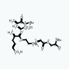 C=C(CC=CC(=O)O)C(=O)OCCO.C=CC(=O)OCC.C=CC(=O)OCC(CC)CCCC.C=CC(=O)OCCCC